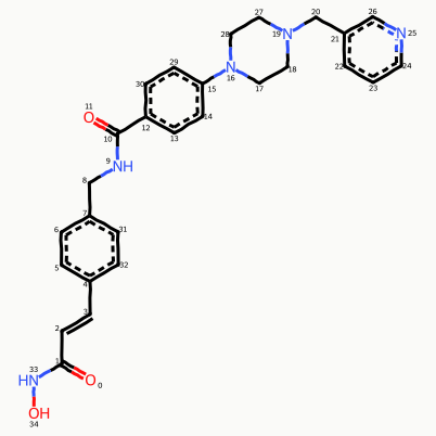 O=C(/C=C/c1ccc(CNC(=O)c2ccc(N3CCN(Cc4cccnc4)CC3)cc2)cc1)NO